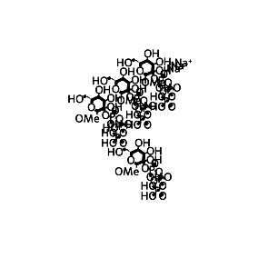 CO[C@@H]1O[C@H](CO)[C@H](O)[C@H](O)[C@]1(O)OP(=O)(O)OP(=O)(O)OP(=O)(O)O.CO[C@@H]1O[C@H](CO)[C@H](O)[C@H](O)[C@]1(O)OP(=O)(O)OP(=O)([O-])OP(=O)(O)O.CO[C@@H]1O[C@H](CO)[C@H](O)[C@H](O)[C@]1(O)OP(=O)(O)OP(=O)([O-])OP(=O)(O)O.CO[C@@H]1O[C@H](CO)[C@H](O)[C@H](O)[C@]1(O)OP(=O)(O)OP(=O)([O-])OP(=O)(O)O.[Na+].[Na+].[Na+]